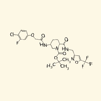 CC(C)(C)OC(=O)N1CC(NC(=O)COc2ccc(Cl)c(F)c2)CCC1C(=O)NCc1cc(C(F)(F)F)on1